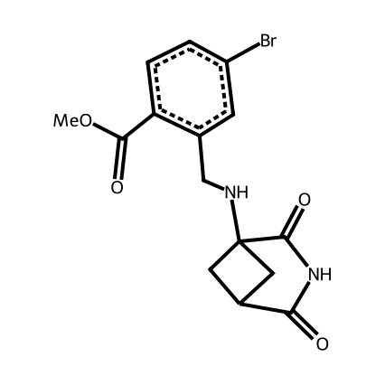 COC(=O)c1ccc(Br)cc1CNC12CC(C1)C(=O)NC2=O